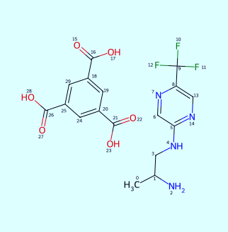 CC(N)CNc1cnc(C(F)(F)F)cn1.O=C(O)c1cc(C(=O)O)cc(C(=O)O)c1